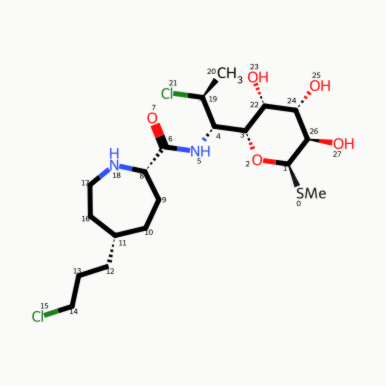 CS[C@H]1O[C@H]([C@H](NC(=O)[C@@H]2CC[C@H](CCCCl)CCN2)[C@H](C)Cl)[C@H](O)[C@H](O)[C@H]1O